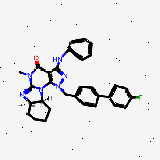 CN1C(=O)c2c(Nc3ccccc3)nn(Cc3ccc(-c4ccc(F)cc4)cc3)c2N2C1=N[C@@H]1CCCC[C@@H]12